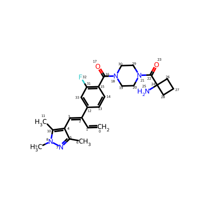 C=C/C(=C\c1c(C)nn(C)c1C)c1ccc(C(=O)N2CCN(C(=O)C3(N)CCC3)CC2)c(F)c1